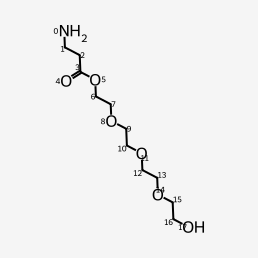 NCCC(=O)OCCOCCOCCOCCO